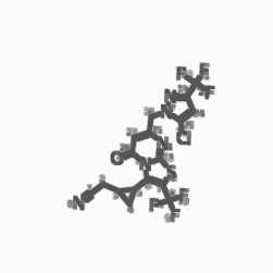 N#CCC1CC1c1c(C(F)(F)F)sc2nc(Cn3nc(C(F)(F)F)cc3Cl)cc(=O)n12